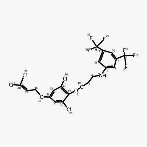 FC(F)(F)c1cc(NCCCOc2c(Cl)cc(OCC=C(Cl)Cl)cc2Cl)cc(C(F)(F)F)c1